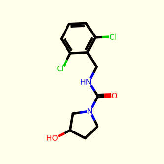 O=C(NCc1c(Cl)cccc1Cl)N1CCC(O)C1